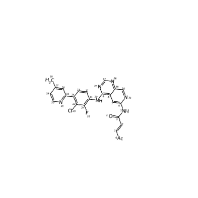 CC(=O)C=CC(=O)Nc1cc2c(Nc3ccc(-c4cc(C)ccn4)c(Cl)c3F)ncnc2cn1